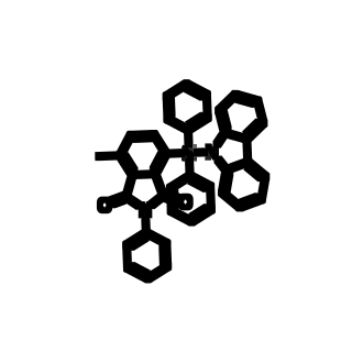 Cc1ccc([Si](c2ccccc2)(c2ccccc2)n2c3ccccc3c3ccccc32)c2c1C(=O)N(c1ccccc1)C2=O